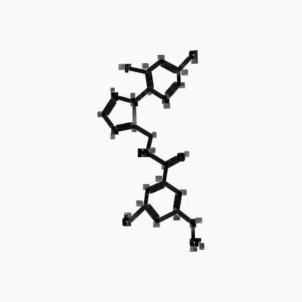 O=C(NCc1ncnn1-c1ncc(Cl)cc1F)c1cc(Cl)cc(SC(F)(F)F)c1